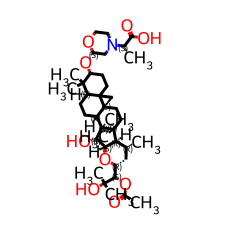 CC(=O)O[C@@H]([C@H]1C[C@@H](C)[C@H]2[C@H](O1)[C@H](O)[C@@]1(C)[C@@H]3CC[C@H]4C(C)(C)C(O[C@H]5CN([C@@H](C)C(=O)O)CCO5)CCC45C[C@@]35CC[C@]21C)C(C)(C)O